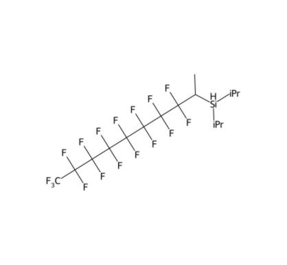 CC(C)[SiH](C(C)C)C(C)C(F)(F)C(F)(F)C(F)(F)C(F)(F)C(F)(F)C(F)(F)C(F)(F)C(F)(F)F